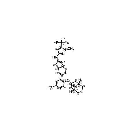 Cc1cc(-c2ccn3nc(Nc4cc(C(F)(F)F)n(C)n4)cc3c2)c(OC2C[C@H]3COC[C@@H](C2)N3)cn1